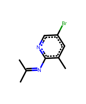 CC(C)=Nc1ncc(Br)cc1C